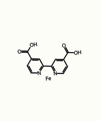 O=C(O)c1ccnc(-c2cc(C(=O)O)ccn2)c1.[Fe]